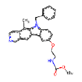 Cc1c2ccncc2cc2c3cc(OCCNC(=O)OC(C)(C)C)ccc3n(Cc3ccccc3)c12